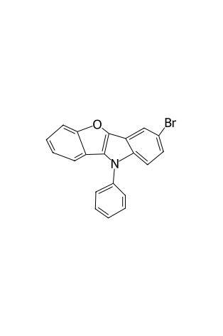 Brc1ccc2c(c1)c1oc3ccccc3c1n2-c1ccccc1